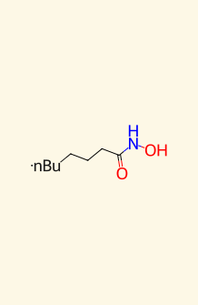 CCC[CH]CCCC(=O)NO